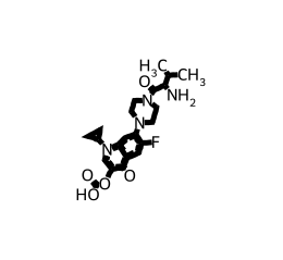 CC(C)C(N)C(=O)N1CCN(c2cc3c(cc2F)c(=O)c(OC(=O)O)cn3C2CC2)CC1